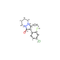 Cc1c(-c2ccc(Cl)cc2F)c(=O)n2n1CCCC2